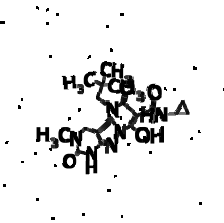 CN1Cc2c(nn3c(O)c(C(=O)NC4CC4)c(=O)n(CC(C)(C)C)c23)NC1=O